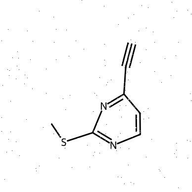 C#Cc1ccnc(SC)n1